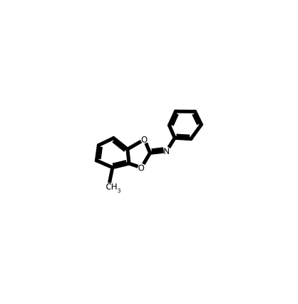 Cc1cccc2o/c(=N\c3ccccc3)oc12